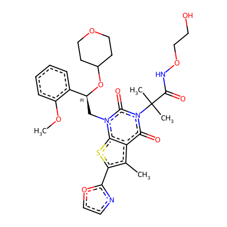 COc1ccccc1[C@H](Cn1c(=O)n(C(C)(C)C(=O)NOCCO)c(=O)c2c(C)c(-c3ncco3)sc21)OC1CCOCC1